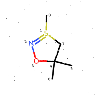 CS1=NOC(C)(C)C1